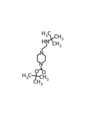 CC(C)(C)NCCN1CCN(C(=O)OC(C)(C)C)CC1